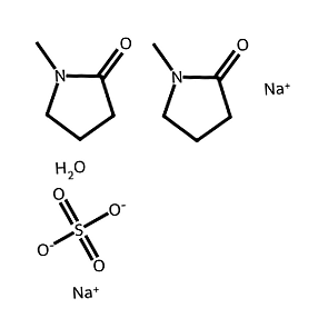 CN1CCCC1=O.CN1CCCC1=O.O.O=S(=O)([O-])[O-].[Na+].[Na+]